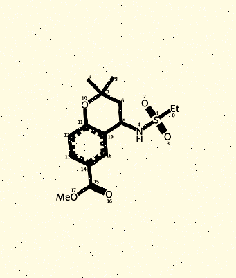 CCS(=O)(=O)NC1CC(C)(C)Oc2ccc(C(=O)OC)cc21